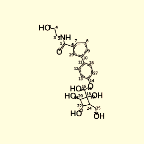 O=C(NCCO)c1cccc(-c2ccc(OC(O)C3(O)C(O)C(O)C3CO)cc2)c1